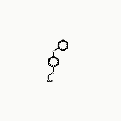 CNCOc1ccc(Oc2ccccc2)cc1